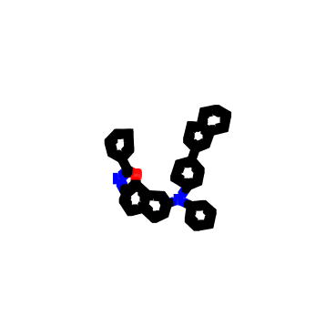 c1ccc(-c2nc3ccc4ccc(N(c5ccccc5)c5ccc(-c6ccc7ccccc7c6)cc5)cc4c3o2)cc1